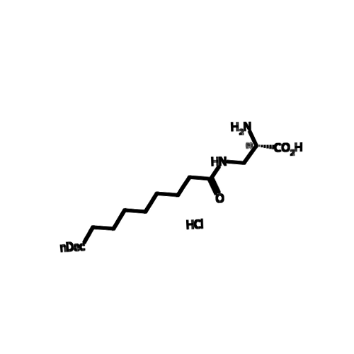 CCCCCCCCCCCCCCCCCC(=O)NC[C@H](N)C(=O)O.Cl